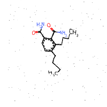 CCCCc1ccc(C(N)=O)c(C(N)=O)c1CCCC